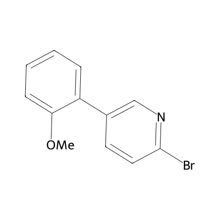 COc1ccccc1-c1ccc(Br)nc1